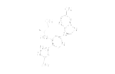 CCCc1cn(-c2cnc(-n3cnc4cc(C#N)cnc43)cc2N[C@@H](C)CO)nn1